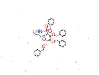 COC(=O)C1NC(CI)C[C@]12OC(COCc1ccccc1)[C@@H](OCc1ccccc1)[C@@H](OCc1ccccc1)C2OCc1ccccc1